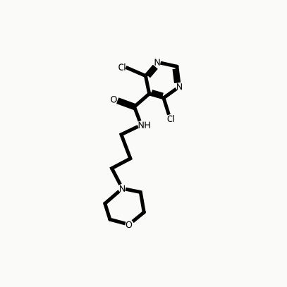 O=C(NCCCN1CCOCC1)c1c(Cl)ncnc1Cl